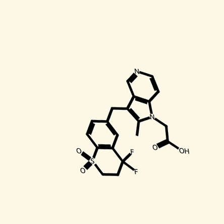 Cc1c(Cc2ccc3c(c2)C(F)(F)CCS3(=O)=O)c2cnccc2n1CC(=O)O